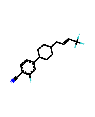 N#Cc1ccc(C2CCC(C/C=C/C(F)(F)F)CC2)cc1F